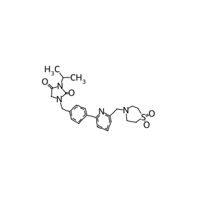 CC(C)N1C(=O)CN(Cc2ccc(-c3cccc(CN4CCS(=O)(=O)CC4)n3)cc2)C1=O